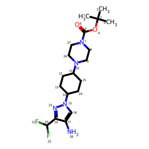 CC(C)(C)OC(=O)N1CCN(C2CCC(n3cc(N)c(C(F)F)n3)CC2)CC1